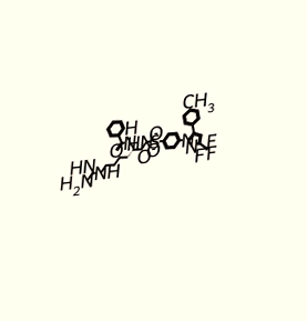 Cc1ccc(-c2cc(C(F)(F)F)nn2-c2ccc(S(=O)(=O)NC(=O)[C@H](CCCCNC(=N)N)NC(=O)c3ccccc3)cc2)cc1